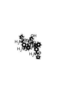 NC(=O)C1(c2ccccc2CNC(=O)[C@@H]2C[C@@H](O)CN2C(=O)OC(N)c2ccccc2C2(C(N)=O)CCC([C@H](N)C(=O)N3CCCC3)CC2)CCC([C@H](N)C(=O)N2CCCC2)CC1